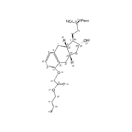 CCCCC[C@H](O)CC[C@@H]1[C@H]2Cc3cccc(OCC(=O)OCCCF)c3C[C@H]2C[C@H]1O